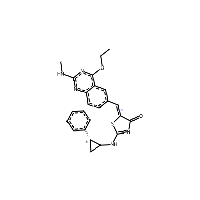 CCOc1nc(NC)nc2ccc(/C=C3\SC(NC4C[C@@H]4c4ccccc4)=NC3=O)cc12